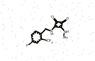 CC(C)(C)Nc1c(NCc2ccc(F)cc2C(F)(F)F)c(=O)c1=O